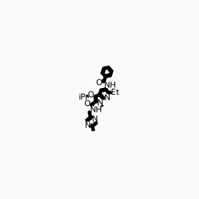 CCc1nc2c(cc1NC(=O)c1ccccc1)c(OC(C)C)c(C(=O)NCc1cnc(C)cn1)n2C